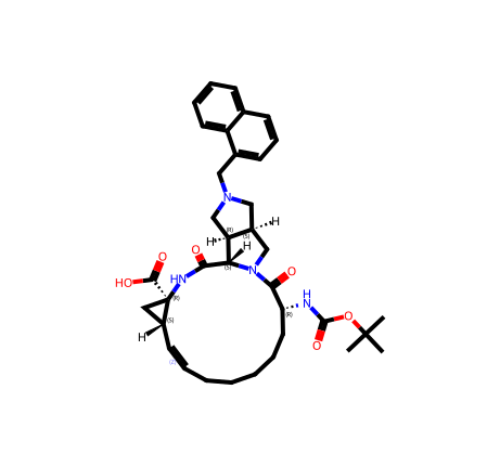 CC(C)(C)OC(=O)N[C@@H]1CCCCC/C=C\[C@@H]2C[C@@]2(C(=O)O)NC(=O)[C@@H]2[C@H]3CN(Cc4cccc5ccccc45)C[C@H]3CN2C1=O